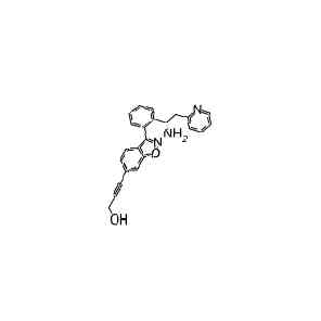 N[C@@H](Cc1ccccn1)c1ccccc1-c1noc2cc(C#CCO)ccc12